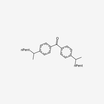 CCCCCC(C)c1ccc(C(=O)c2ccc(C(C)CCCCC)cc2)cc1